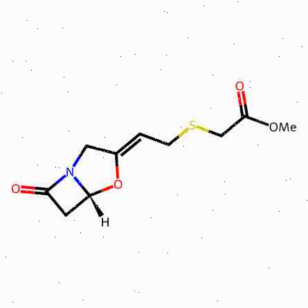 COC(=O)CSC/C=C1/CN2C(=O)C[C@H]2O1